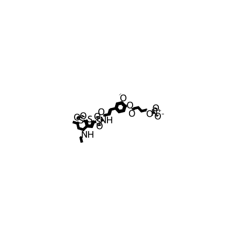 CCN[C@H]1CC(C)S(=O)(=O)c2sc(S(=O)(=O)NC(=O)/C=C/c3ccc(OC(=O)CCCO[N+](=O)[O-])c(OC)c3)cc21